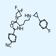 N#Cc1ccc(C(=O)NC(CCCN[C@@H]2C[C@H]2c2ccc(F)cc2)C(=O)N2CC(F)(F)C2)cc1